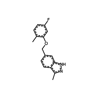 Cc1ccc(F)cc1OCc1ccc2c(C)n[nH]c2c1